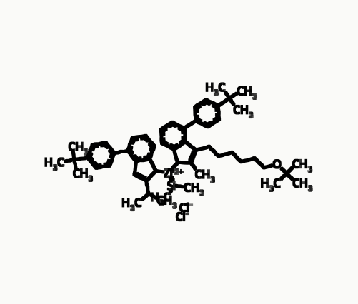 CC1=C(CCCCCCOC(C)(C)C)c2c(-c3ccc(C(C)(C)C)cc3)cccc2[CH]1[Zr+2]([CH]1C(C(C)C)=Cc2c(-c3ccc(C(C)(C)C)cc3)cccc21)=[Si](C)C.[Cl-].[Cl-]